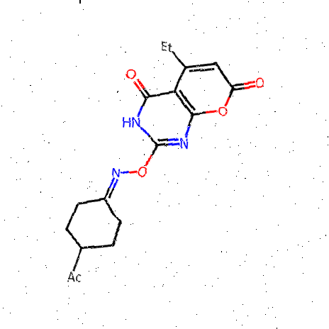 CCc1cc(=O)oc2nc(ON=C3CCC(C(C)=O)CC3)[nH]c(=O)c12